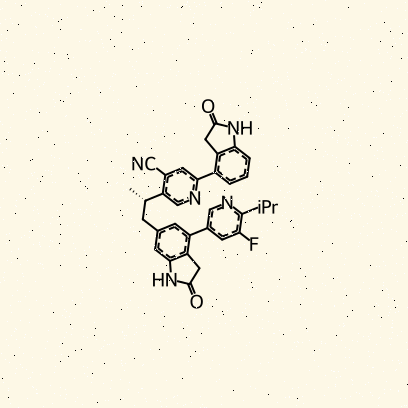 CC(C)c1ncc(-c2cc(C[C@H](C)c3cnc(-c4cccc5c4CC(=O)N5)cc3C#N)cc3c2CC(=O)N3)cc1F